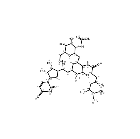 CC(=O)NC1C(O)C(O)[C@H](CO)O[C@@H]1O[C@@H]1O[C@H](C[C@@H](O)C2O[C@@H](n3ccc(=O)[nH]c3=O)[C@H](O)[C@@H]2O)C(O)C(O)C1NC(=O)CCC(C)CC(C)C(C)C